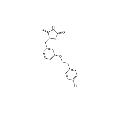 O=C1NC(=O)C(Cc2cccc(OCCc3ccc(Cl)cc3)c2)S1